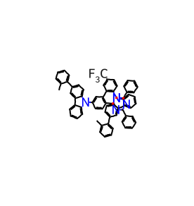 Cc1ccccc1-c1ccc2c(c1)c1ccccc1n2-c1ccc(-c2nc(-c3ccccc3)nc(-c3ccccc3)n2)c(-c2cc(C(F)(F)F)ccc2-n2c3ccccc3c3cc(-c4ccccc4C)ccc32)c1